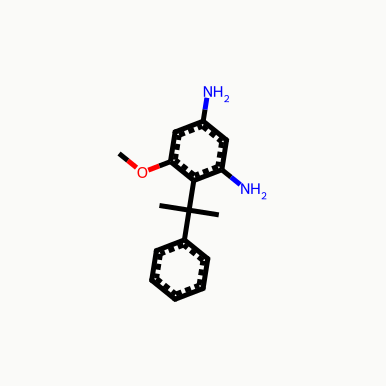 COc1cc(N)cc(N)c1C(C)(C)c1ccccc1